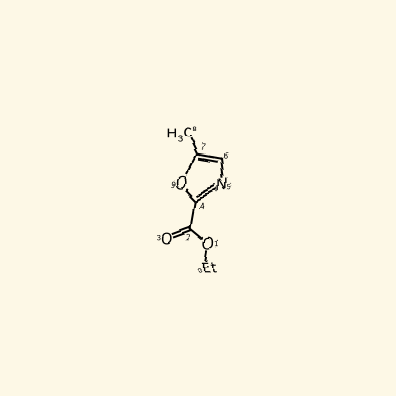 CCOC(=O)c1ncc(C)o1